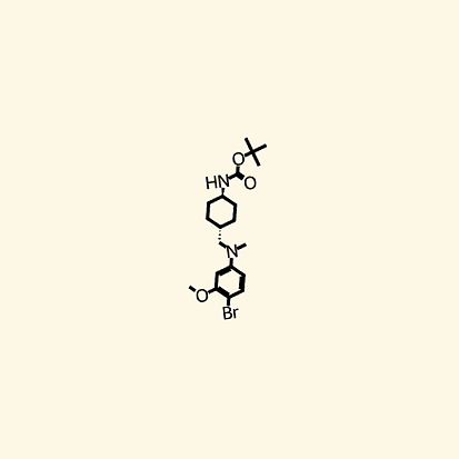 COc1cc(N(C)C[C@H]2CC[C@H](NC(=O)OC(C)(C)C)CC2)ccc1Br